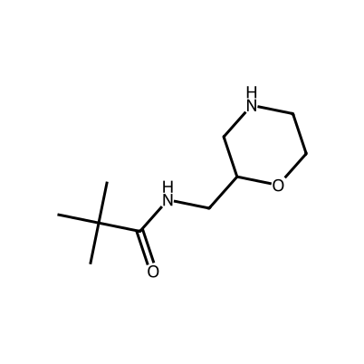 CC(C)(C)C(=O)NCC1CNCCO1